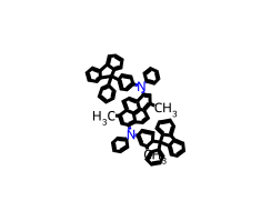 Cc1cc(N(C2=CC(C)C(C3(c4ccccc4)c4ccccc4-c4ccccc43)C=C2)c2ccccc2)c2ccc3c(C)cc(N(c4ccccc4)c4ccc(C5(c6ccccc6)c6ccccc6-c6ccccc65)cc4)c4ccc1c2c34